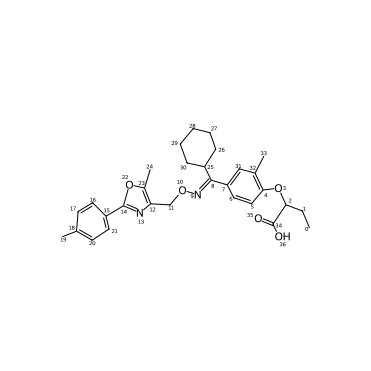 CCC(Oc1ccc(C(=NOCc2nc(-c3ccc(C)cc3)oc2C)C2CCCCC2)cc1C)C(=O)O